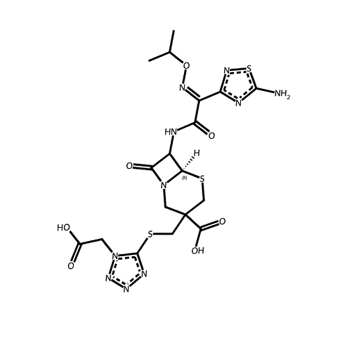 CC(C)ON=C(C(=O)NC1C(=O)N2CC(CSc3nnnn3CC(=O)O)(C(=O)O)CS[C@H]12)c1nsc(N)n1